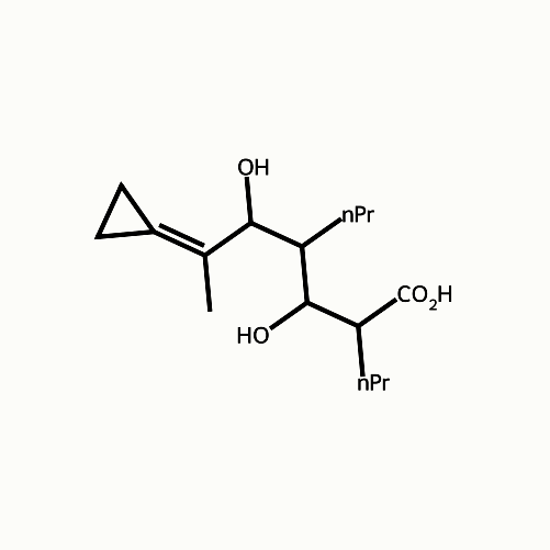 CCCC(C(=O)O)C(O)C(CCC)C(O)C(C)=C1CC1